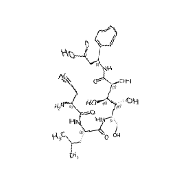 CC(C)C[C@H](NC(=O)[C@@H](N)CC#N)C(=O)N[C@@H](CO)[C@@H](O)[C@@H](O)[C@H](O)C(=O)N[C@@H](CC(=O)O)c1ccccc1